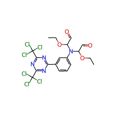 CCOC(C=O)N(c1cccc(-c2nc(C(Cl)(Cl)Cl)nc(C(Cl)(Cl)Cl)n2)c1)C(C=O)OCC